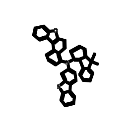 CC1(C)c2ccccc2-c2c(N(c3ccc4c(c3)sc3ccccc34)c3cccc4c3ccc3oc5ccccc5c34)cccc21